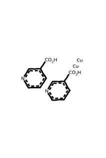 O=C(O)c1cccnc1.O=C(O)c1cccnc1.[Cu].[Cu]